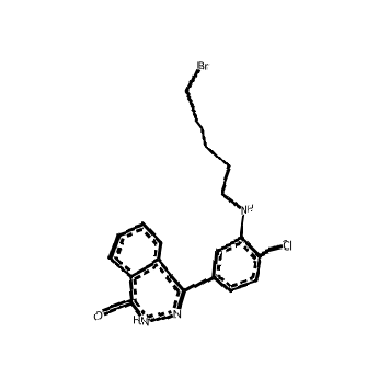 O=c1[nH]nc(-c2ccc(Cl)c(NCCCCCBr)c2)c2ccccc12